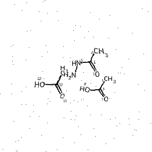 CC(=O)NN.CC(=O)O.CC(=O)O